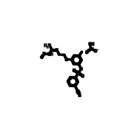 C=NNC(N)=NCCOc1cc(C)cc(OS(=O)(=O)c2cccc(C#N)c2)c1.O=[N+]([O-])O